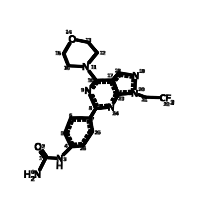 NC(=O)Nc1ccc(-c2nc(N3CCOCC3)c3cnn(CC(F)(F)F)c3n2)cc1